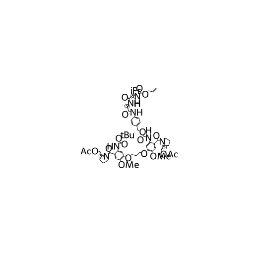 C=CCOC(=O)N[C@H](C(=O)N[C@@H](C)C(=O)Nc1ccc(COC(=O)Nc2cc(OCCCOc3cc(NC(=O)OC(C)(C)C)c(C(=O)N4CCC[C@H]4COC(C)=O)cc3OC)c(OC)cc2C(=O)N2CCC[C@H]2COC(C)=O)cc1)C(C)C